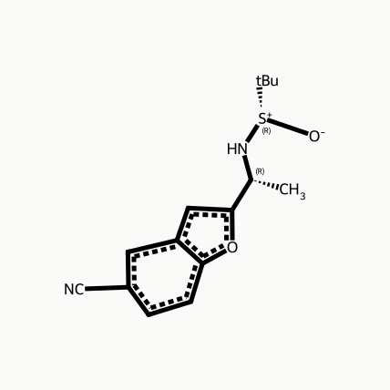 C[C@@H](N[S@@+]([O-])C(C)(C)C)c1cc2cc(C#N)ccc2o1